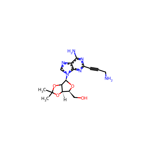 CC1(C)OC2[C@H](O1)[C@H](CO)O[C@@H]2n1cnc2c(N)nc(C#CCN)nc21